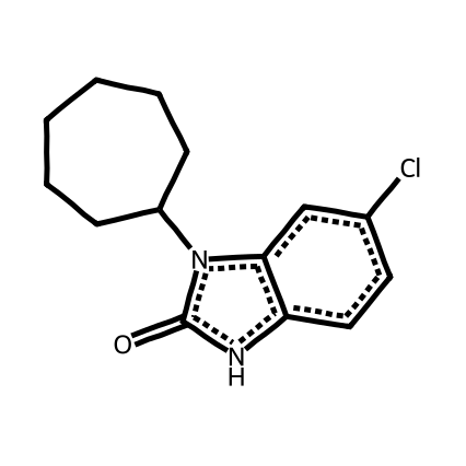 O=c1[nH]c2ccc(Cl)cc2n1C1CCCCCC1